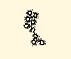 C1=CC(N(c2ccc(-c3ccc4c(c3)c3ccccc3n4-c3ccccc3)cc2)c2ccc3c(c2)C(c2ccccc2)(c2ccccc2)c2ccccc2-3)=CCC1